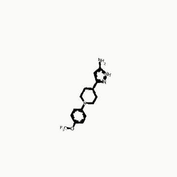 Nc1cc(C2CCN(c3ccc(OC(F)(F)F)cc3)CC2)n[nH]1